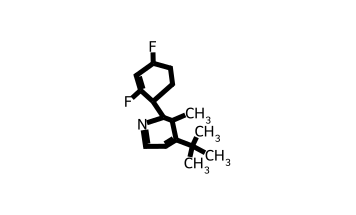 CC1C(C(C)(C)C)=CC=NC1C1CCC(F)C=C1F